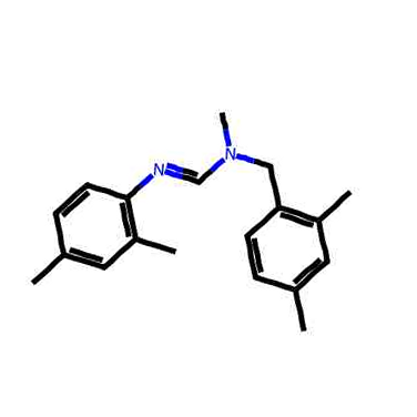 Cc1ccc(CN(C)C=Nc2ccc(C)cc2C)c(C)c1